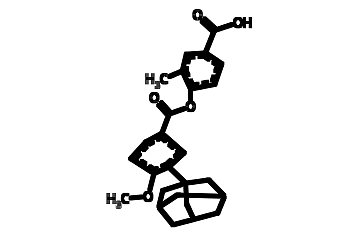 COc1ccc(C(=O)Oc2ccc(C(=O)O)cc2C)cc1C12CC3CC(CC(C3)C1)C2